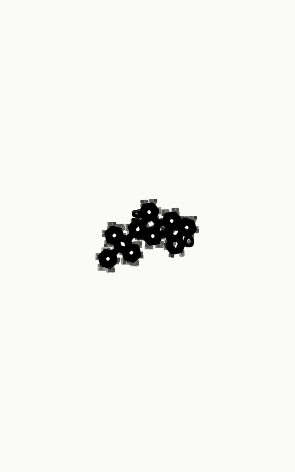 CC12C(=CC=CC1c1c3ccccc3c(-c3cccc4sc5cc(-c6c7ccccc7c(-c7ccccc7)c7ccccc67)ccc5c34)c3ccccc13)Oc1ccccc12